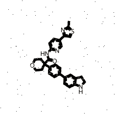 Cc1nc(-c2ccc(NC(=O)C3(c4ccc(-c5ccc6c(c5)CCN6)cc4)CCOCC3)nc2)cs1